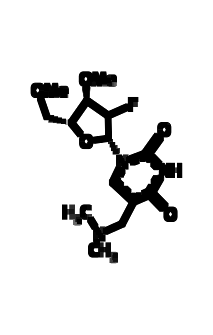 COC[C@H]1O[C@@H](n2cc(CN(C)C)c(=O)[nH]c2=O)C(F)[C@@H]1OC